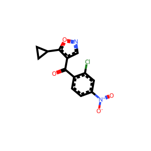 O=C(c1ccc([N+](=O)[O-])cc1Cl)c1cnoc1C1CC1